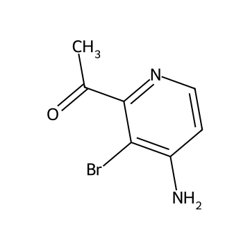 CC(=O)c1nccc(N)c1Br